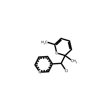 CC1=CC=CC(C)(C(Cl)c2cccnc2)O1